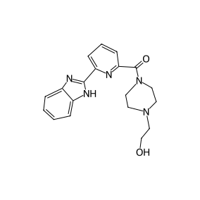 O=C(c1cccc(-c2nc3ccccc3[nH]2)n1)N1CCN(CCO)CC1